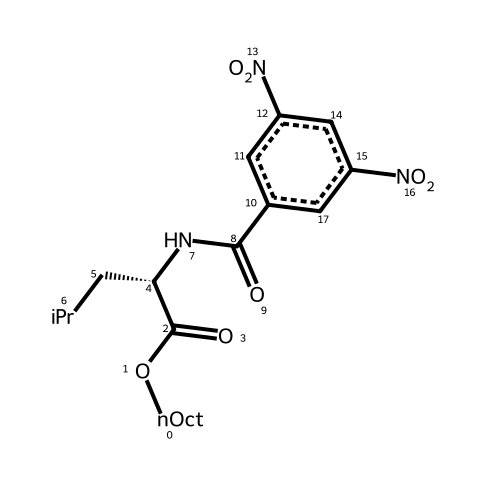 CCCCCCCCOC(=O)[C@H](CC(C)C)NC(=O)c1cc([N+](=O)[O-])cc([N+](=O)[O-])c1